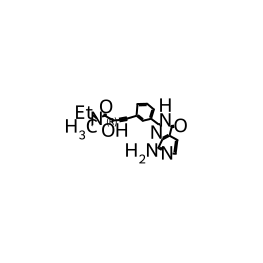 CCN(C)C(=O)[C@H](O)C#Cc1cccc(-c2nc3c(N)nccc3c(=O)[nH]2)c1